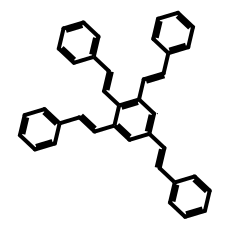 [c]1c(C=Cc2ccccc2)cc(C=Cc2ccccc2)c(C=Cc2ccccc2)c1C=Cc1ccccc1